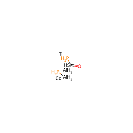 O=[SiH]P.[AlH2][PH2].[AlH3].[Co].[Ti]